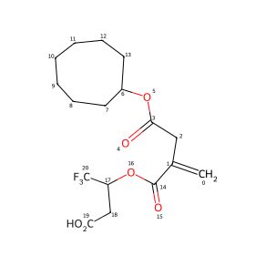 C=C(CC(=O)OC1CCCCCCC1)C(=O)OC(CC(=O)O)C(F)(F)F